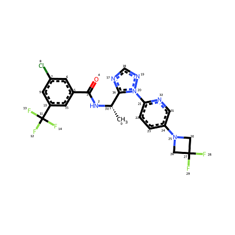 C[C@H](NC(=O)c1cc(Cl)cc(C(F)(F)F)c1)c1ncnn1-c1ccc(N2CC(F)(F)C2)cn1